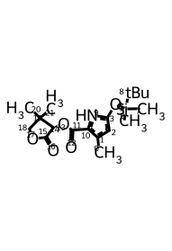 Cc1cc(O[Si](C)(C)C(C)(C)C)[nH]c1C(=O)O[C@@H]1C(=O)OCC1(C)C